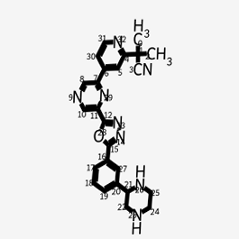 CC(C)(C#N)c1cc(-c2cncc(-c3nnc(-c4cccc(C5CNCCN5)c4)o3)n2)ccn1